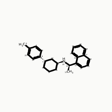 Cc1ccc([C@H]2CCC[C@H](N[C@H](C)c3cccc4ccccc34)C2)cc1